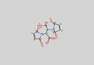 O=C(O)C(C(C(=O)O)N1C(=O)C=CC1=O)N1C(=O)C=CC1=O